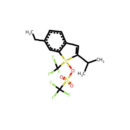 CCc1ccc2c(c1)S(OS(=O)(=O)C(F)(F)F)(C(F)(F)F)C(C(C)C)=C2